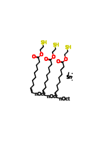 CCCCCCCC/C=C\CCCCCCCC(=O)OCCS.CCCCCCCC/C=C\CCCCCCCC(=O)OCCS.CCCCCCCC/C=C\CCCCCCCC(=O)OCCS.[CH3][Sn]